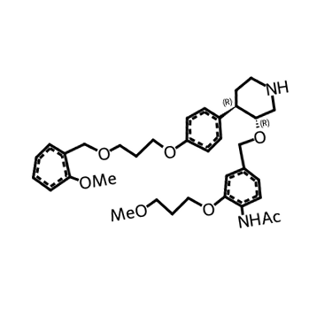 COCCCOc1cc(CO[C@H]2CNCC[C@@H]2c2ccc(OCCCOCc3ccccc3OC)cc2)ccc1NC(C)=O